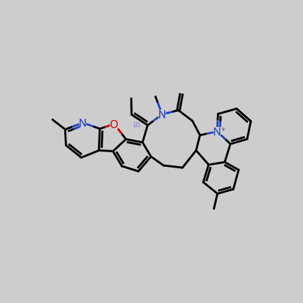 C=C1CC2C(CCc3ccc4c(oc5nc(C)ccc54)c3/C(=C/C)N1C)c1cc(C)ccc1-c1cccc[n+]12